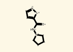 O=C(NN1CCCC1)c1ccns1